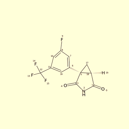 O=C1NC(=O)[C@@]2(c3cc(F)cc(C(F)(F)F)c3)C[C@@H]12